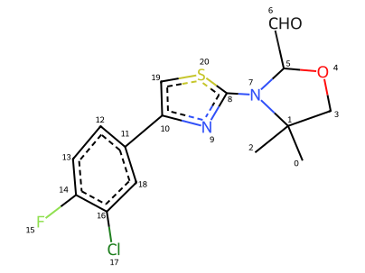 CC1(C)COC(C=O)N1c1nc(-c2ccc(F)c(Cl)c2)cs1